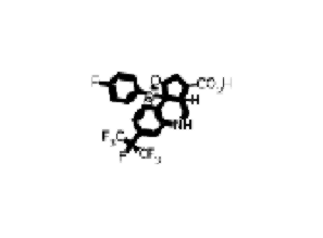 O=C(O)[C@@H]1CC[C@@]2(S(=O)(=O)c3ccc(F)cc3)c3ccc(C(F)(C(F)(F)F)C(F)(F)F)cc3NC[C@@H]12